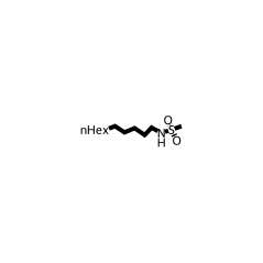 CCCCCCCCCCCNS(C)(=O)=O